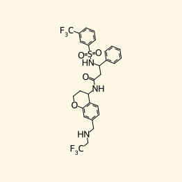 O=C(CC(NS(=O)(=O)c1cccc(C(F)(F)F)c1)c1ccccc1)NC1CCOc2cc(CNCC(F)(F)F)ccc21